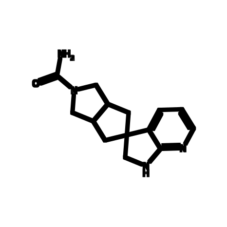 NC(=O)N1CC2CC3(CNc4ncccc43)CC2C1